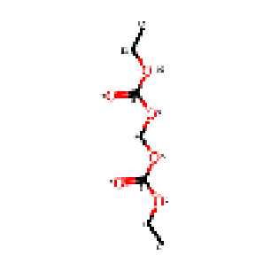 CCOC(=O)OCOC(=O)OCC